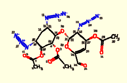 CC(=O)O[C@@H]1[C@@H](OC(C)=O)[C@H](N=[N+]=[N-])C[C@H](N=[N+]=[N-])[C@H]1O[C@H]1OC(C=O)=C[C@H](OC(C)=O)[C@H]1N=[N+]=[N-]